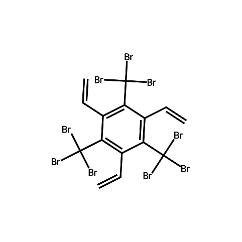 C=Cc1c(C(Br)(Br)Br)c(C=C)c(C(Br)(Br)Br)c(C=C)c1C(Br)(Br)Br